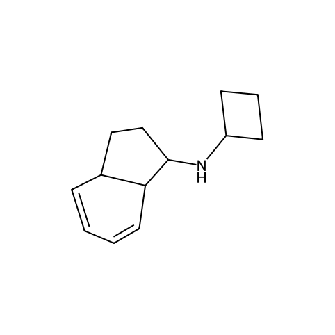 C1=CC2CCC(NC3CCC3)C2C=C1